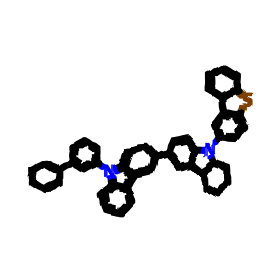 C1=CC2Sc3ccc(N4C5C=CC(C6C=c7c(n(-c8cccc(C9=CCCC=C9)c8)c8ccccc78)=CC6)=CC5C5CCCCC54)cc3C2C=C1